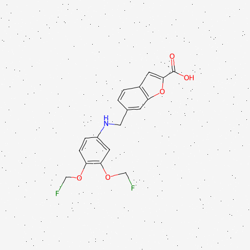 O=C(O)c1cc2ccc(CNc3ccc(OCF)c(OCF)c3)cc2o1